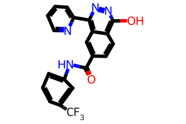 O=C(Nc1cccc(C(F)(F)F)c1)c1ccc2c(O)nnc(-c3ccccn3)c2c1